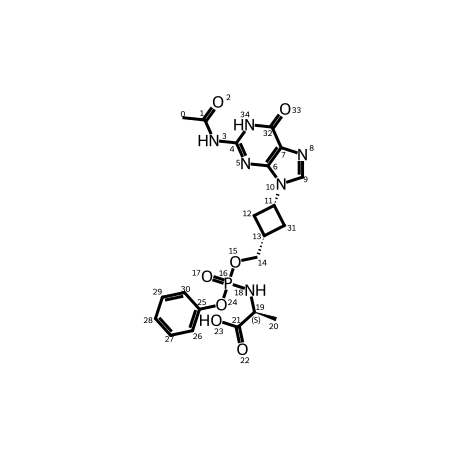 CC(=O)Nc1nc2c(ncn2[C@H]2C[C@@H](COP(=O)(N[C@@H](C)C(=O)O)Oc3ccccc3)C2)c(=O)[nH]1